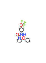 O=C(Nc1ccc(OC(F)(F)F)cc1)N1CCCCC1Oc1ccccc1